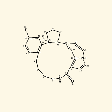 O=C1NCCCCc2ncc(F)cc2[C@H]2CCCN2c2ccn3ncc1c3n2